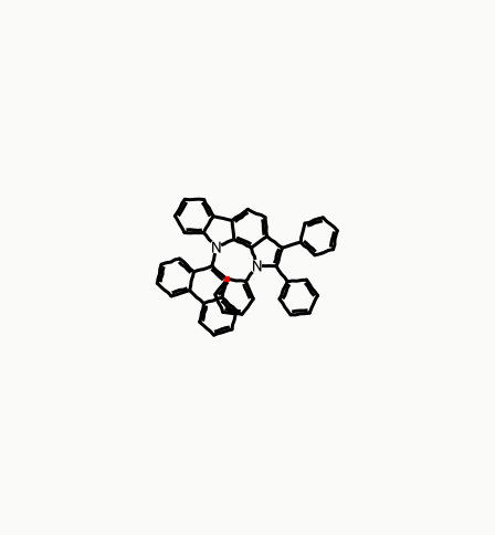 c1ccc(-c2c(-c3ccccc3)n(-c3ccccc3)c3c2ccc2c4ccccc4n(-c4cc5ccccc5c5ccccc45)c23)cc1